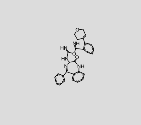 N=C(NC1N=C(c2ccccc2)c2ccccc2NC1=O)OC(=N)c1ccccc1C1=CCOCC1